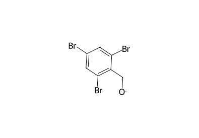 [O]Cc1c(Br)cc(Br)cc1Br